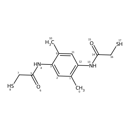 Cc1cc(NC(=O)CS)c(C)cc1NC(=O)CS